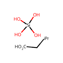 CC(C)CC(=O)O.O[Si](O)(O)O